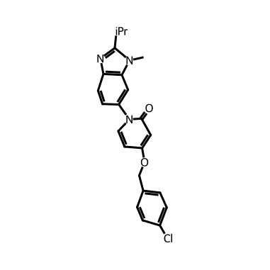 CC(C)c1nc2ccc(-n3ccc(OCc4ccc(Cl)cc4)cc3=O)cc2n1C